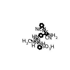 C=CNc1nc(Nc2ccc(-c3c(N=Nc4ccccc4C#N)sc(N)c3C#N)cc2)nc(Nc2ccccc2S(=O)(=O)O)n1